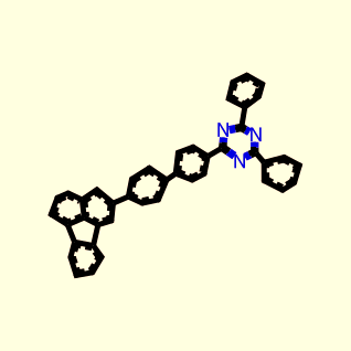 c1ccc(-c2nc(-c3ccccc3)nc(-c3ccc(-c4ccc(-c5cc6c7c(cccc7c5)-c5ccccc5-6)cc4)cc3)n2)cc1